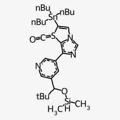 CCC[CH2][Sn]([CH2]CCC)([CH2]CCC)[C]1=Cn2cnc(-c3cncc(C(O[SiH](C)C)C(C)(C)C)c3)c2S1=C=O